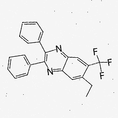 CCc1cc2nc(-c3ccccc3)c(-c3ccccc3)nc2cc1C(F)(F)F